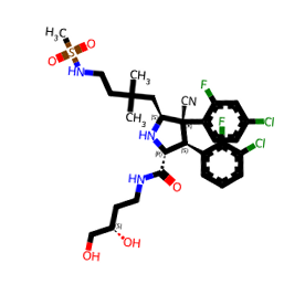 CC(C)(CCNS(C)(=O)=O)C[C@@H]1N[C@@H](C(=O)NCC[C@H](O)CO)[C@H](c2cccc(Cl)c2F)[C@@]1(C#N)c1ccc(Cl)cc1F